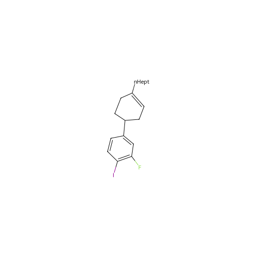 CCCCCCCC1=CCC(c2ccc(I)c(F)c2)CC1